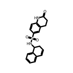 O=C1CCc2cc(S(=O)(=O)NC3CC=Cc4ccccc43)ccc2N1